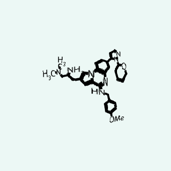 COc1ccc(CNc2nc3cc(-c4ccnn4C4CCCCO4)ccc3n3cc(CC(N)CN(C)C)cc23)cc1